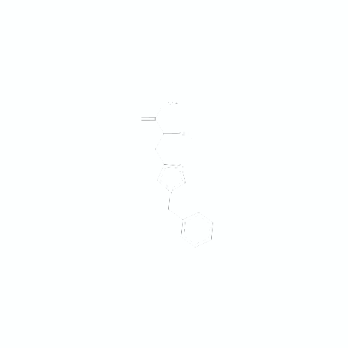 COC(=O)C(N)Cc1cn(Cc2ccccc2)cn1